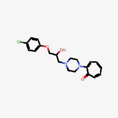 O=c1cccccc1N1CCN(CC(O)COc2ccc(Cl)cc2)CC1